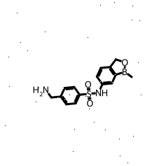 CB1OCc2ccc(NS(=O)(=O)c3ccc(CN)cc3)cc21